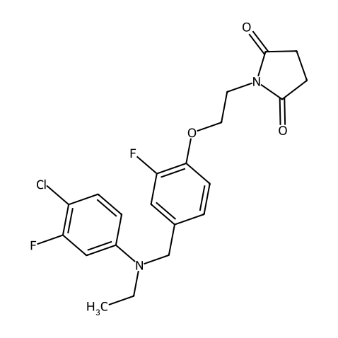 CCN(Cc1ccc(OCCN2C(=O)CCC2=O)c(F)c1)c1ccc(Cl)c(F)c1